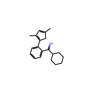 CC1=CC(C)=C(c2ccccc2C(=N)C2CCCCC2)C1